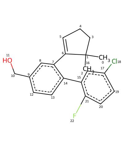 CC1(C)CCC=C1c1cc(CO)ccc1-c1cc(Cl)ccc1F